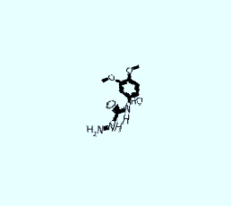 COc1ccc(NC(=O)NN)cc1OC.Cl